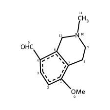 COc1ccc(C=O)c2c1CCN(C)C2